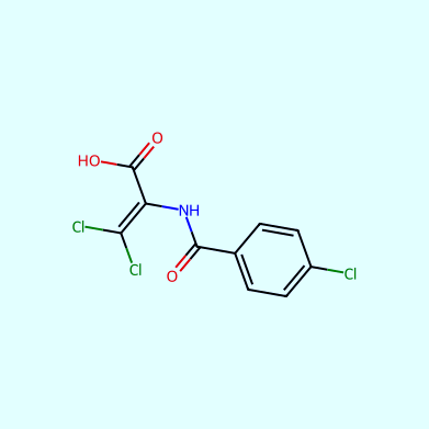 O=C(O)C(NC(=O)c1ccc(Cl)cc1)=C(Cl)Cl